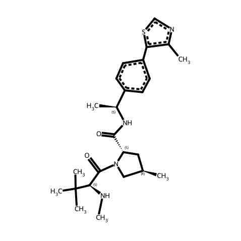 CN[C@H](C(=O)N1C[C@H](C)C[C@H]1C(=O)N[C@@H](C)c1ccc(-c2scnc2C)cc1)C(C)(C)C